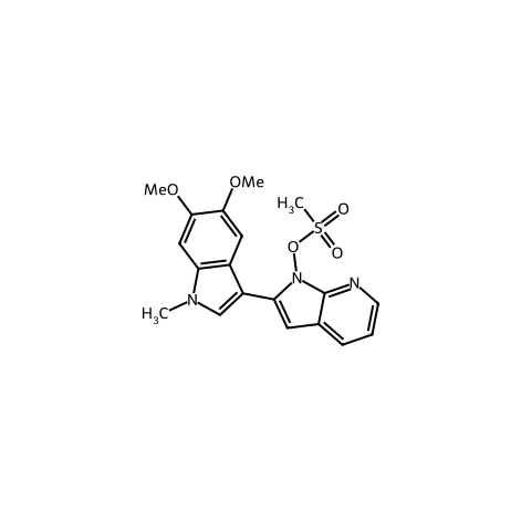 COc1cc2c(-c3cc4cccnc4n3OS(C)(=O)=O)cn(C)c2cc1OC